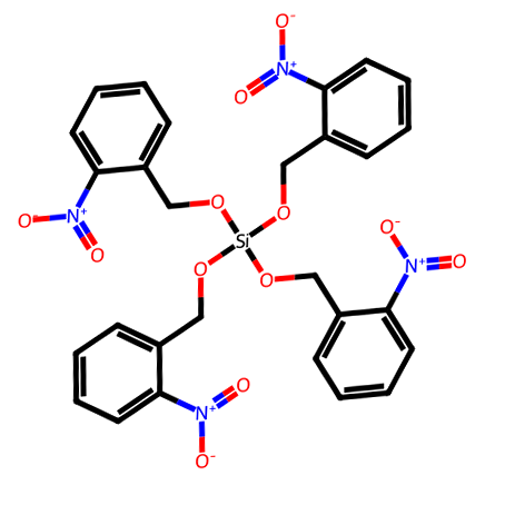 O=[N+]([O-])c1ccccc1CO[Si](OCc1ccccc1[N+](=O)[O-])(OCc1ccccc1[N+](=O)[O-])OCc1ccccc1[N+](=O)[O-]